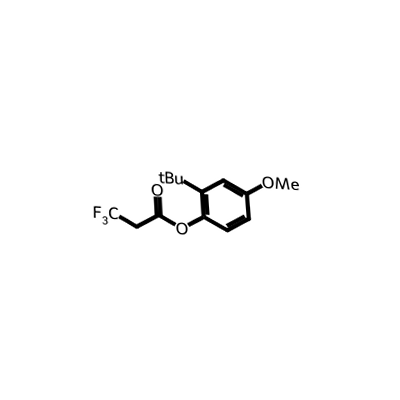 COc1ccc(OC(=O)CC(F)(F)F)c(C(C)(C)C)c1